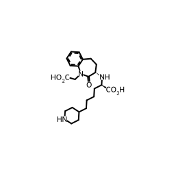 O=C(O)CN1C(=O)[C@@H](N[C@H](CCCCC2CCNCC2)C(=O)O)CCc2ccccc21